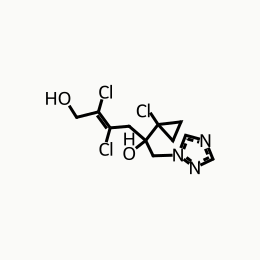 OCC(Cl)=C(Cl)CC(O)(Cn1cncn1)C1(Cl)CC1